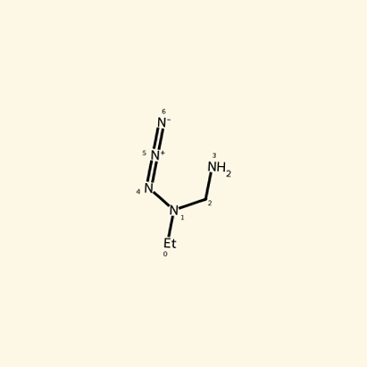 CCN(CN)N=[N+]=[N-]